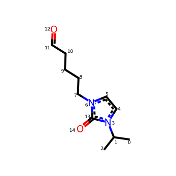 CC(C)n1ccn(CCCCC=O)c1=O